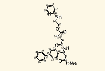 COC(=O)CC(NC(=O)CNC(=O)OCCNc1ccccn1)c1ccc(-c2ccccc2)cc1